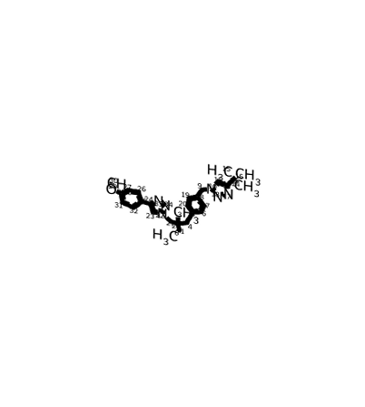 CCC(C)(Cc1ccc(Cn2cc(C(C)(C)C)nn2)cc1)Cn1cc(-c2ccc(OC)cc2)nn1